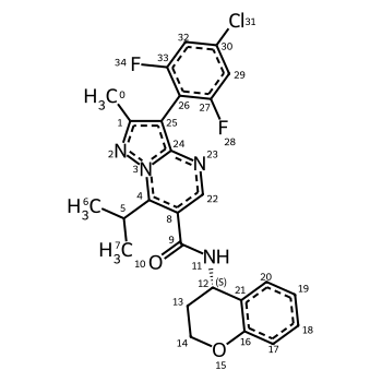 Cc1nn2c(C(C)C)c(C(=O)N[C@H]3CCOc4ccccc43)cnc2c1-c1c(F)cc(Cl)cc1F